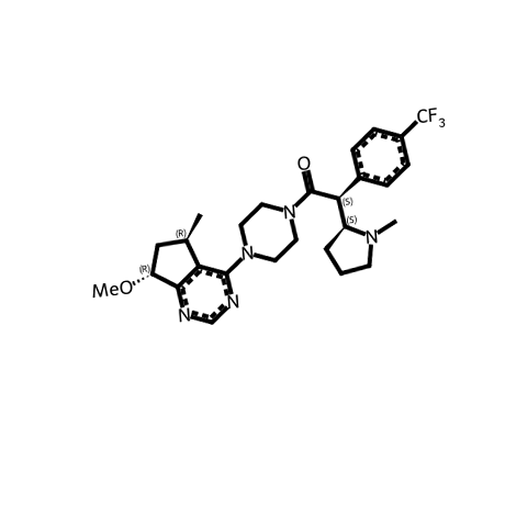 CO[C@@H]1C[C@@H](C)c2c1ncnc2N1CCN(C(=O)[C@@H](c2ccc(C(F)(F)F)cc2)[C@@H]2CCCN2C)CC1